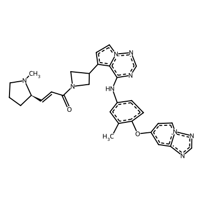 Cc1cc(Nc2ncnn3ccc(C4CN(C(=O)/C=C/[C@H]5CCCN5C)C4)c23)ccc1Oc1ccn2ncnc2c1